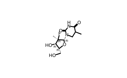 CC1CN([C@@H]2O[C@H](CO)[C@@H](O)[C@@]2(C)F)C(=O)NC1=O